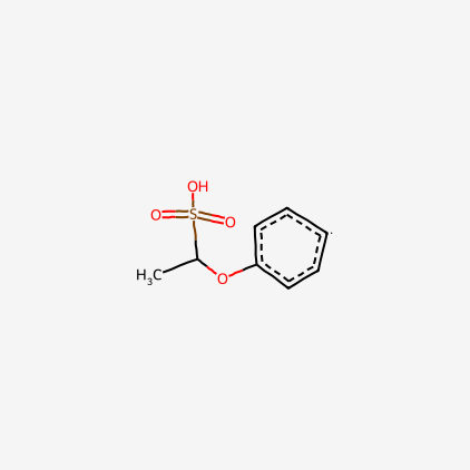 CC(Oc1cc[c]cc1)S(=O)(=O)O